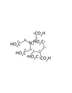 O=C(O)CC(CC(=O)O)C(=O)O.O=C(O)CN(CC(=O)O)CC(=O)O